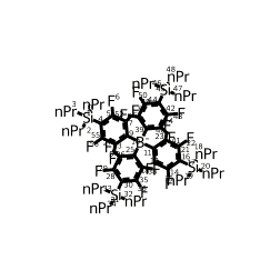 CCC[Si](CCC)(CCC)c1c(F)c(F)c([B-](c2c(F)c(F)c([Si](CCC)(CCC)CCC)c(F)c2F)(c2c(F)c(F)c([Si](CCC)(CCC)CCC)c(F)c2F)c2c(F)c(F)c([Si](CCC)(CCC)CCC)c(F)c2F)c(F)c1F